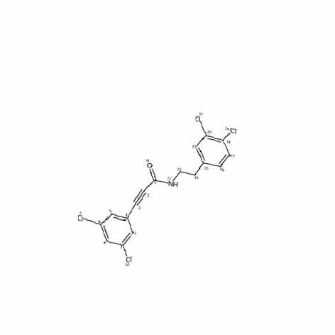 O=C(C#Cc1cc(Cl)cc(Cl)c1)NCCc1ccc(Cl)c(Cl)c1